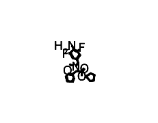 Nc1c(F)cc(CN(C=O)C(C(=O)OC2CCCC2)c2ccccc2)cc1F